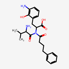 CC(C)C(N)C(=O)N(C(=O)CCCc1ccccc1)C(Cc1cccc(N)c1O)C(=O)O